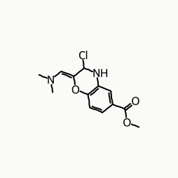 COC(=O)c1ccc2c(c1)NC(Cl)/C(=C/N(C)C)O2